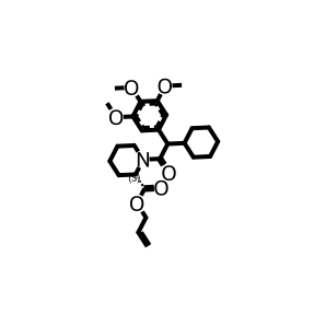 C=CCOC(=O)[C@@H]1CCCCN1C(=O)C(c1cc(OC)c(OC)c(OC)c1)C1CCCCC1